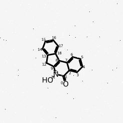 O=c1c2ccccc2c2c(n1O)Cc1ccccc1-2